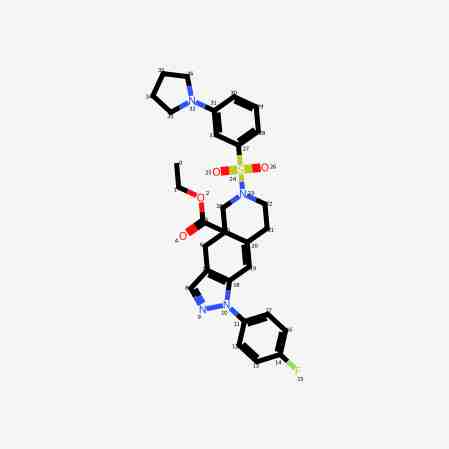 CCOC(=O)C12Cc3cnn(-c4ccc(F)cc4)c3C=C1CCN(S(=O)(=O)c1cccc(N3CCCC3)c1)C2